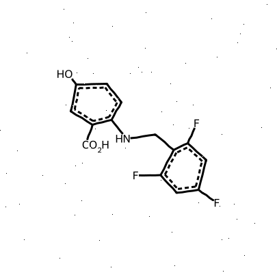 O=C(O)c1cc(O)ccc1NCc1c(F)cc(F)cc1F